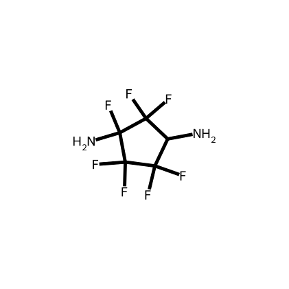 NC1C(F)(F)C(N)(F)C(F)(F)C1(F)F